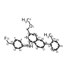 COCc1nc(Nc2ccc(CF)cc2)c2ccc(-c3ncccc3C)cc2n1